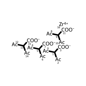 CC(=O)C(C(C)=O)C(=O)[O-].CC(=O)C(C(C)=O)C(=O)[O-].CC(=O)C(C(C)=O)C(=O)[O-].CC(=O)C(C(C)=O)C(=O)[O-].[Zr+4]